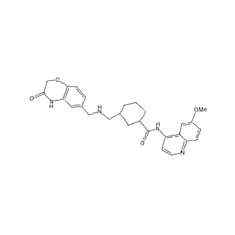 COc1ccc2nccc(NC(=O)C3CCCC(CNCc4ccc5c(c4)NC(=O)CO5)C3)c2c1